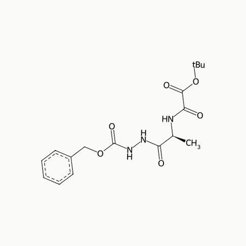 C[C@H](NC(=O)C(=O)OC(C)(C)C)C(=O)NNC(=O)OCc1ccccc1